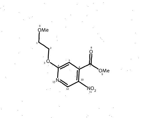 COCCOc1cc(C(=O)OC)c([N+](=O)[O-])cn1